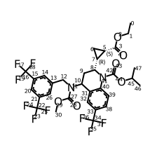 CCOC(=O)[C@H]1C[C@H]1C1CC(N(Cc2cc(C(F)(F)F)cc(C(F)(F)F)c2)C(=O)OC)c2cc(C(F)(F)F)ccc2N1C(=O)OC(C)C